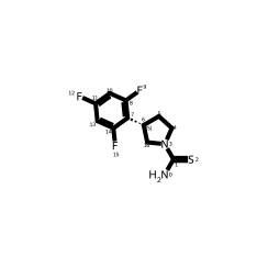 NC(=S)N1CC[C@@H](c2c(F)cc(F)cc2F)C1